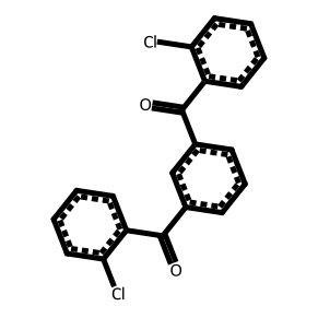 O=C(c1cccc(C(=O)c2ccccc2Cl)c1)c1ccccc1Cl